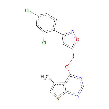 Cc1csc2ncnc(OCc3cc(-c4ccc(Cl)cc4Cl)no3)c12